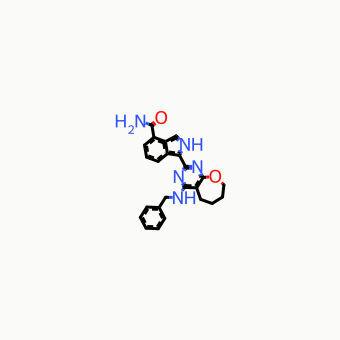 NC(=O)c1cccc2c(-c3nc(NCc4ccccc4)c4c(n3)OCCCC4)[nH]cc12